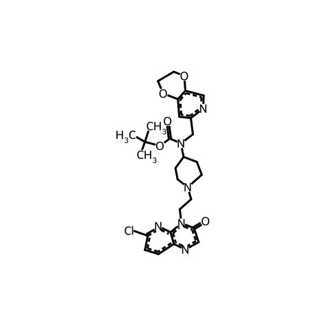 CC(C)(C)OC(=O)N(Cc1cc2c(cn1)OCCO2)C1CCN(CCn2c(=O)cnc3ccc(Cl)nc32)CC1